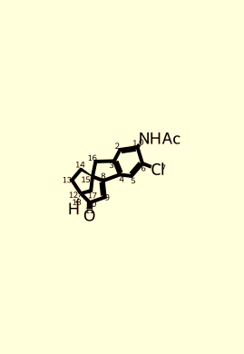 CC(=O)Nc1cc2c(cc1Cl)C1=CC(=O)[C@H]3CC[C@]1(C2)C3